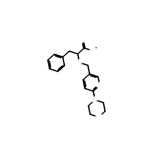 COC(=O)C(Cc1ccccc1)NCc1ccc(N2CCOCC2)nc1